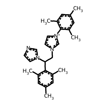 Cc1cc(C)c(C(Cn2cc[n+](-c3c(C)cc(C)cc3C)c2)n2ccnc2)c(C)c1